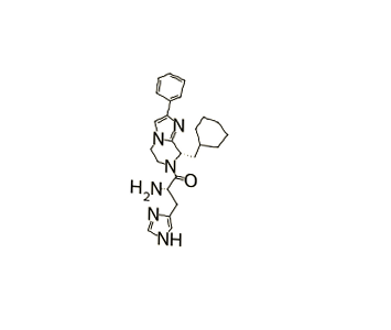 N[C@@H](Cc1c[nH]cn1)C(=O)N1CCn2cc(-c3ccccc3)nc2[C@@H]1CC1CCCCC1